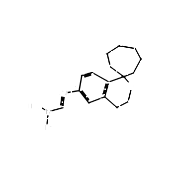 CCN(C)/C=N/c1ccc2c(c1)CCOC21CCCCCC1